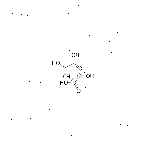 CC(O)C(=O)O.O=C(O)OO